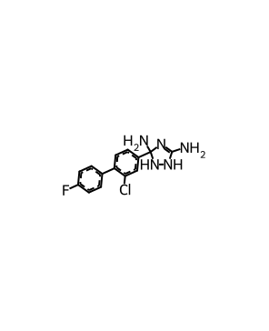 NC1=NC(N)(c2ccc(-c3ccc(F)cc3)c(Cl)c2)NN1